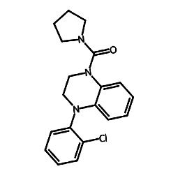 O=C(N1CCCC1)N1CCN(c2ccccc2Cl)c2ccccc21